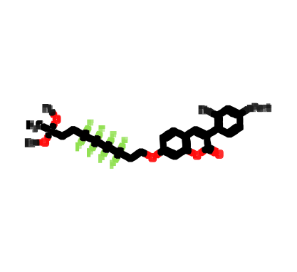 CCCCCc1ccc(-c2cc3ccc(OCCC(F)(F)C(F)(F)C(F)(F)C(F)(F)CC[Si](C)(OCC)OCC)cc3oc2=O)c(CC)c1